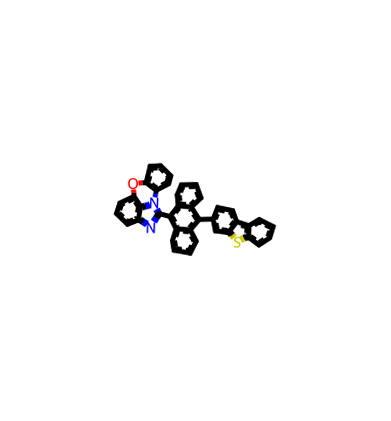 c1ccc2c(c1)Oc1cccc3nc(-c4c5ccccc5c(-c5ccc6c(c5)sc5ccccc56)c5ccccc45)n-2c13